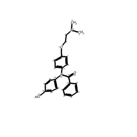 CN(C)CCOc1ccc(N(C(=O)c2ccccc2)c2ccc(O)cc2)cc1